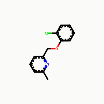 Cc1cccc(COc2cc[c]cc2Cl)n1